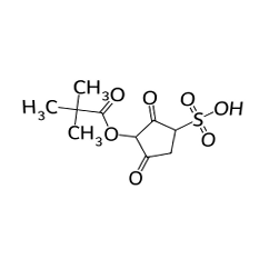 CC(C)(C)C(=O)OC1C(=O)CC(S(=O)(=O)O)C1=O